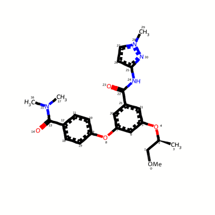 COC[C@H](C)Oc1cc(Oc2ccc(C(=O)N(C)C)cc2)cc(C(=O)Nc2ccn(C)n2)c1